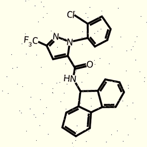 O=C(NC1c2ccccc2-c2ccccc21)c1cc(C(F)(F)F)nn1-c1ccccc1Cl